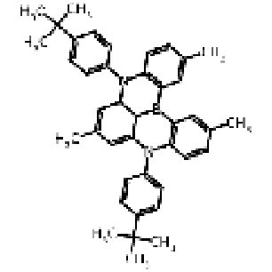 CC1=CC2C3B(c4cc(C)ccc4N(c4ccc(C(C)(C)C)cc4)C3=C1)c1cc(C)ccc1N2c1ccc(C(C)(C)C)cc1